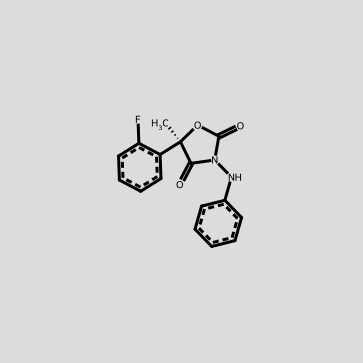 C[C@]1(c2ccccc2F)OC(=O)N(Nc2ccccc2)C1=O